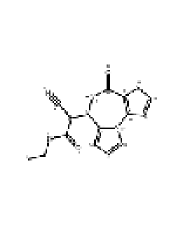 CCOC(=O)C(C#N)C1NC(=O)c2sccc2-n2cccc21